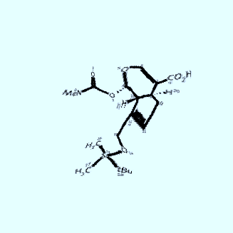 CNC(=O)O[C@@H]1OC=C(C(=O)O)[C@H]2CC=C(CO[Si](C)(C)C(C)(C)C)[C@H]12